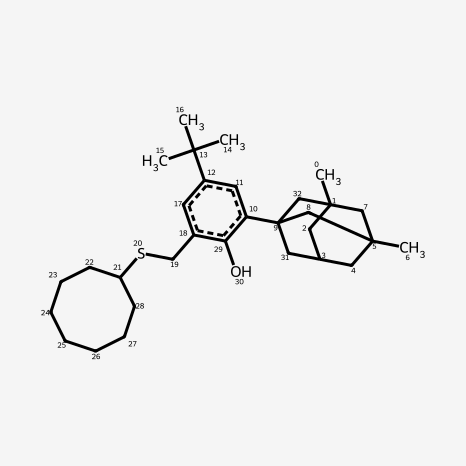 CC12CC3CC(C)(C1)CC(c1cc(C(C)(C)C)cc(CSC4CCCCCCC4)c1O)(C3)C2